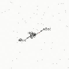 CCCCCCCCCCCCCCCCCCCCCC(=O)OC(CO)COC(=O)CCCCCCCCCCCCCCCCC